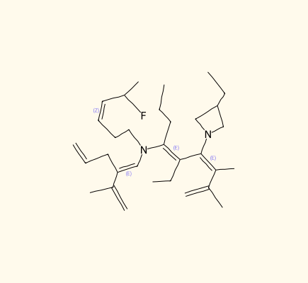 C=CC/C(=C\N(CC/C=C\C(C)F)/C(CCC)=C(CC)/C(=C(/C)C(=C)C)N1CC(CC)C1)C(=C)C